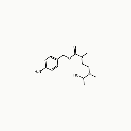 CC(O)N(C)CCN(C)C(=O)OCc1ccc(N)cc1